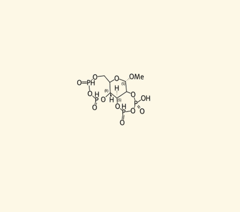 CO[C@H]1OC2CO[PH](=O)O[PH](=O)O[C@H]2[C@@H]2O[PH](=O)OP(=O)(O)OC12